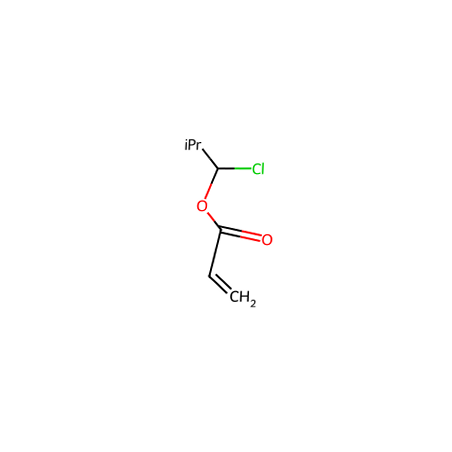 C=CC(=O)OC(Cl)C(C)C